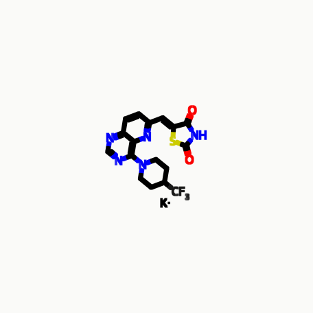 O=C1NC(=O)C(=Cc2ccc3ncnc(N4CCC(C(F)(F)F)CC4)c3n2)S1.[K]